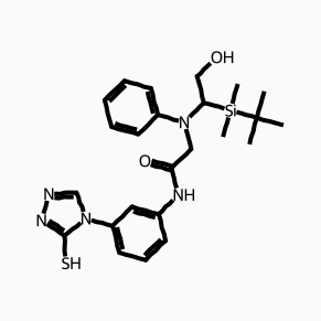 CC(C)(C)[Si](C)(C)C(CO)N(CC(=O)Nc1cccc(-n2cnnc2S)c1)c1ccccc1